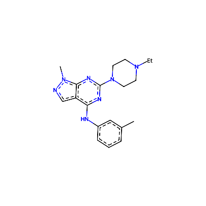 CCN1CCN(c2nc(Nc3cccc(C)c3)c3cnn(C)c3n2)CC1